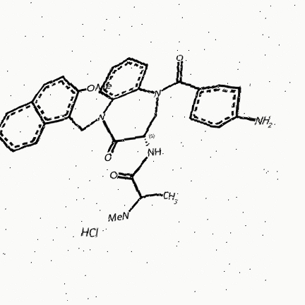 CNC(C)C(=O)N[C@H]1CN(C(=O)c2ccc(N)cc2)c2ccccc2N(Cc2c(OC)ccc3ccccc23)C1=O.Cl